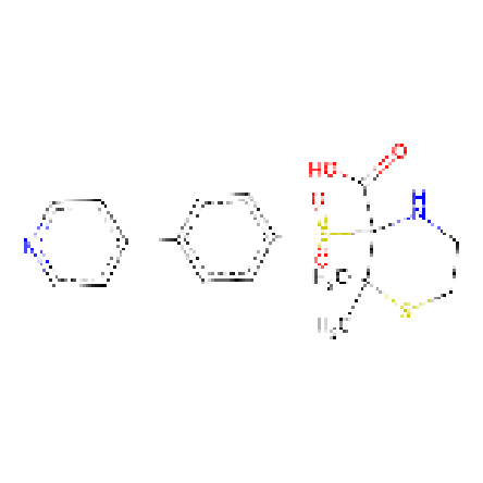 CC1(C)SCCNC1(C(=O)O)S(=O)(=O)c1ccc(-c2ccncc2)cc1